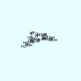 CC(C)n1cnc(CCNc2nc(NC3CCN(C(=O)N4CCC(Nc5nc(NCCc6cn(C(C)C)cn6)nc6c5ncn6[C@@H]5C[C@H](NC(=O)CO)[C@@H](O)[C@H]5O)CC4)CC3)c3ncn([C@@H]4C[C@H](NC(=O)CO)[C@@H](O)[C@H]4O)c3n2)c1